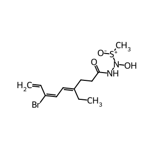 C=C/C(Br)=C\C=C(/CC)CCC(=O)NN(O)[S+](C)[O-]